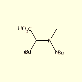 CCCCN(C)C(C(=O)O)C(C)CC